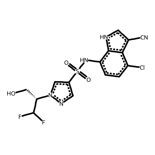 N#Cc1c[nH]c2c(NS(=O)(=O)c3cnn([C@@H](CO)C(F)F)c3)ccc(Cl)c12